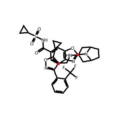 O=C(NS(=O)(=O)C1CC1)c1ccc2nc(N3C4CCC3CC(NCc3c(-c5ccccc5C(F)(F)F)noc3C3CC3)C4)oc2c1